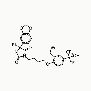 CCC1(c2ccc3c(c2)OCO3)NC(=O)N(CCCCOc2ccc(C(O)(C(F)(F)F)C(F)(F)F)cc2CC(C)C)C1=O